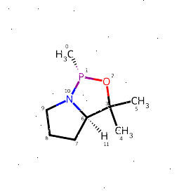 C[P@]1OC(C)(C)[C@H]2CCCN21